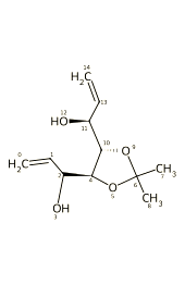 C=CC(O)[C@@H]1OC(C)(C)O[C@H]1[C@@H](O)C=C